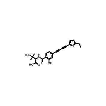 CCc1ccc(C#CC#Cc2ccc(C(=O)NC(C(=O)O)C(C)(C)N)c(O)c2)o1